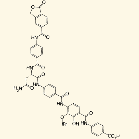 CC(C)Oc1c(NC(=O)c2ccc(NC(=O)[C@H](CC(N)=O)NC(=O)c3ccc(NC(=O)c4ccc5c(c4)COC5=O)cc3)cc2)ccc(C(=O)Nc2ccc(C(=O)O)cc2)c1O